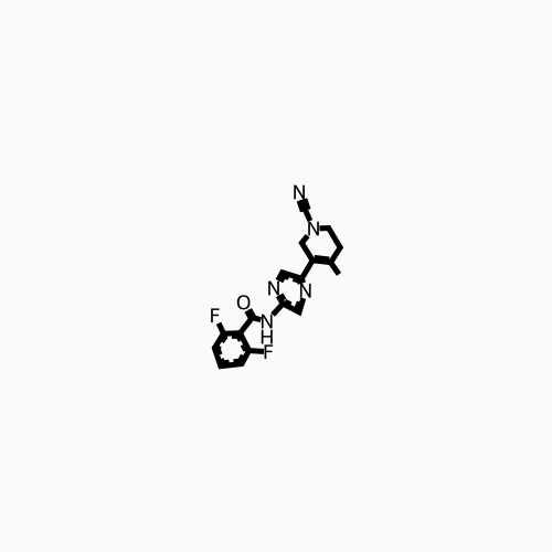 CC1=C(c2cnc(NC(=O)c3c(F)cccc3F)cn2)CN(C#N)CC1